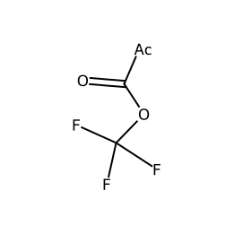 CC(=O)C(=O)OC(F)(F)F